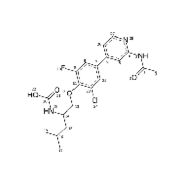 CC(=O)Nc1cc(-c2cc(F)c(OCC(CC(C)C)NC(=O)O)c(Cl)c2)ccn1